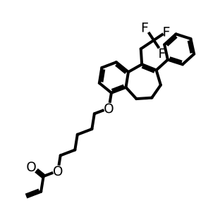 C=CC(=O)OCCCCCOc1cccc2c1CCCC(c1ccccc1)=C2CC(F)(F)F